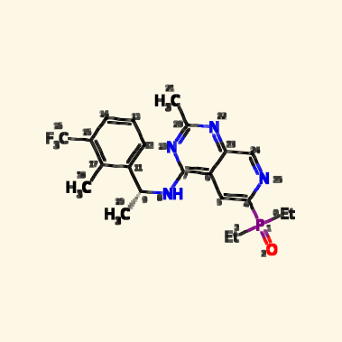 CCP(=O)(CC)c1cc2c(N[C@H](C)c3cccc(C(F)(F)F)c3C)nc(C)nc2cn1